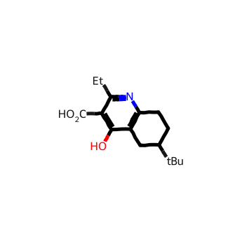 CCc1nc2c(c(O)c1C(=O)O)CC(C(C)(C)C)CC2